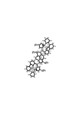 CC(C)c1cccc(N(c2cc(C(C)C)c3ccc4c(N(c5cccc(C(C)C)c5)c5cccc6c5oc5c(-c7ccccc7C(C)C)cccc56)cc(C(C)C)c5ccc2c3c54)c2cccc3c2oc2c(-c4ccccc4C(C)C)cccc23)c1